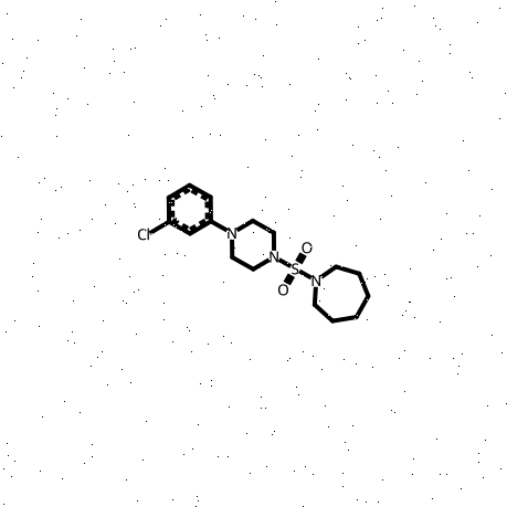 O=S(=O)(N1CCCCCC1)N1CCN(c2cccc(Cl)c2)CC1